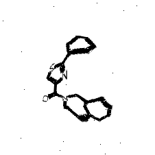 O=C(c1csc(-c2ccccc2)n1)N1CCC2CCCCC2C1